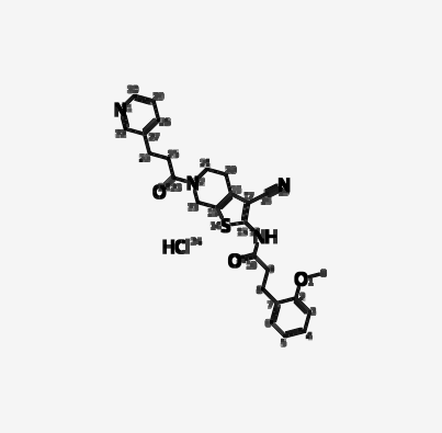 COc1ccccc1CCC(=O)Nc1sc2c(c1C#N)CCN(C(=O)CCc1cccnc1)C2.Cl